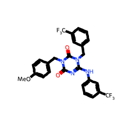 COc1ccc(Cn2c(=O)nc(Nc3cccc(C(F)(F)F)c3)n(Cc3cccc(C(F)(F)F)c3)c2=O)cc1